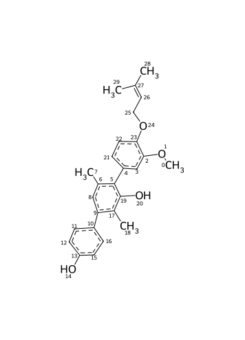 COc1cc(-c2c(C)cc(-c3ccc(O)cc3)c(C)c2O)ccc1OCC=C(C)C